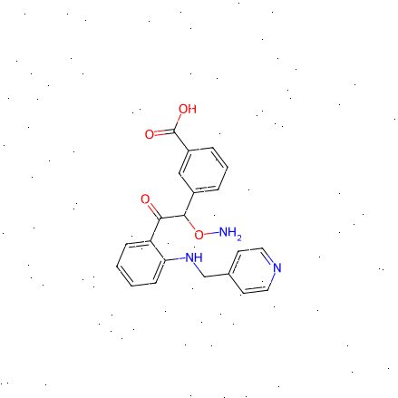 NOC(C(=O)c1ccccc1NCc1ccncc1)c1cccc(C(=O)O)c1